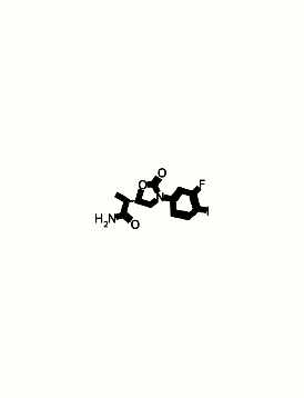 CC(C(N)=O)[C@H]1CN(c2ccc(I)c(F)c2)C(=O)O1